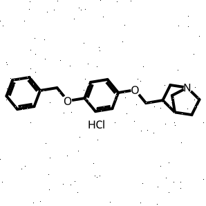 Cl.c1ccc(COc2ccc(OCC3CN4CCC3C4)cc2)cc1